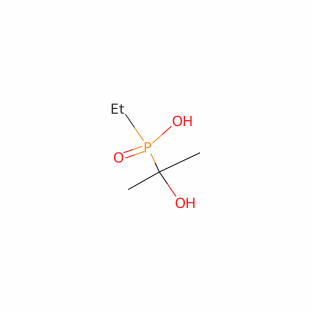 CCP(=O)(O)C(C)(C)O